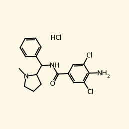 CN1CCCC1C(NC(=O)c1cc(Cl)c(N)c(Cl)c1)c1ccccc1.Cl